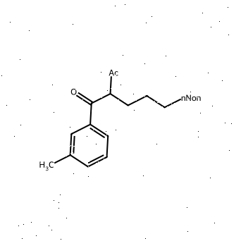 CCCCCCCCCCCCC(C(C)=O)C(=O)c1cccc(C)c1